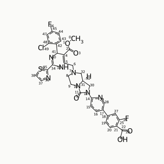 COC(=O)C1=C(CN2CCN3C(=O)N(c4ccc(-c5ccc(C(=O)O)c(F)c5)cn4)C[C@@H]3C2)NC(c2nccs2)=NC1c1ccc(F)cc1Cl